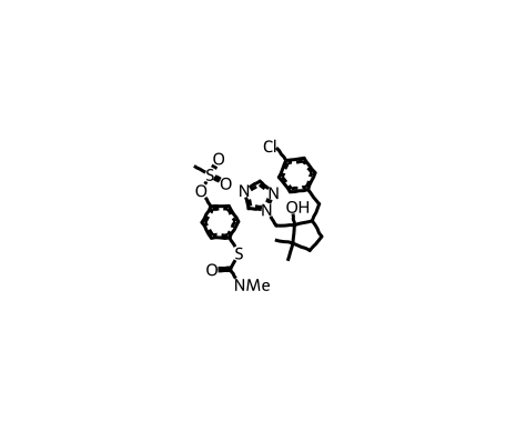 CC1(C)CCC(Cc2ccc(Cl)cc2)C1(O)Cn1cncn1.CNC(=O)Sc1ccc(OS(C)(=O)=O)cc1